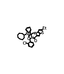 CCc1cc2c(cc3n2CC(C(=O)NC2CCCCCCC2)(c2ccccc2)N(Cc2ccccc2Cl)C3=O)s1